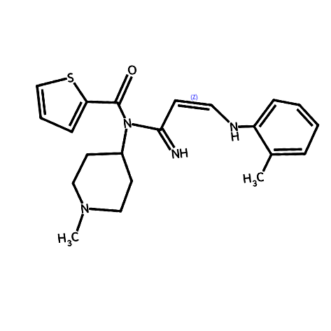 Cc1ccccc1N/C=C\C(=N)N(C(=O)c1cccs1)C1CCN(C)CC1